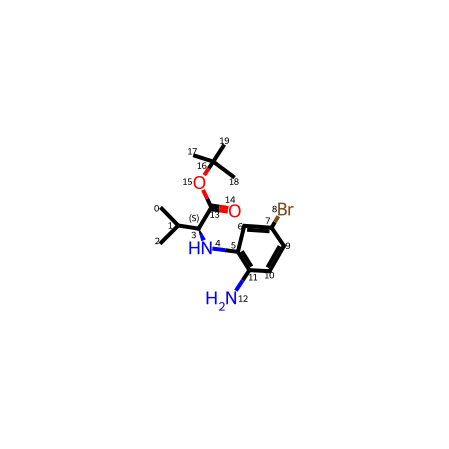 CC(C)[C@H](Nc1cc(Br)ccc1N)C(=O)OC(C)(C)C